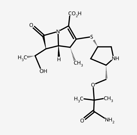 C[C@@H](O)[C@H]1C(=O)N2C(C(=O)O)=C(S[C@@H]3CN[C@H](COC(C)(C)C(N)=O)C3)[C@H](C)[C@H]12